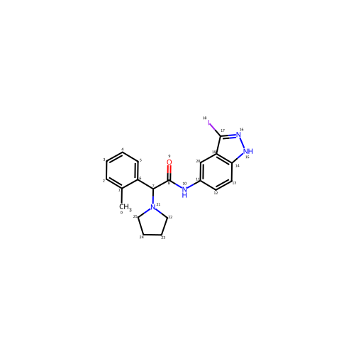 Cc1ccccc1C(C(=O)Nc1ccc2[nH]nc(I)c2c1)N1CCCC1